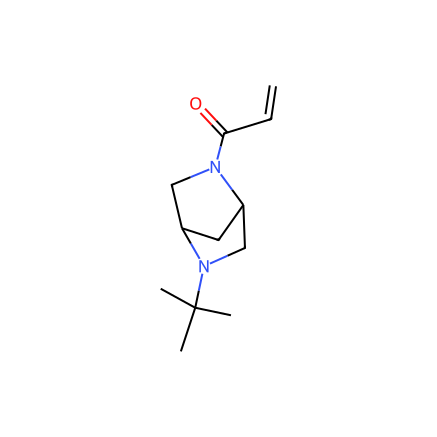 C=CC(=O)N1CC2CC1CN2C(C)(C)C